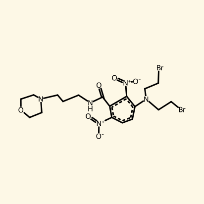 O=C(NCCCN1CCOCC1)c1c([N+](=O)[O-])ccc(N(CCBr)CCBr)c1[N+](=O)[O-]